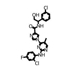 Cc1cnc(Nc2ccc(F)cc2Cl)nc1-n1cnc(C(=O)NC(CO)c2cccc(Cl)c2)c1